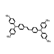 CC(C)(C)c1ccc(N(c2ccc(/C=C/c3ccc(N(c4ccc(C(C)(C)C)cc4)c4ccc(C(C)(C)C)cc4)cc3)cc2)c2ccc(C(C)(C)C)cc2)cc1